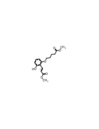 COC(=O)/C=C/c1c(O)cccc1OCCCCC(=O)OC